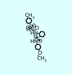 CCOc1ccc(NS(=O)(=O)c2ccccc2NC(=O)NS(=O)(=O)c2ccc(C)cc2)cc1